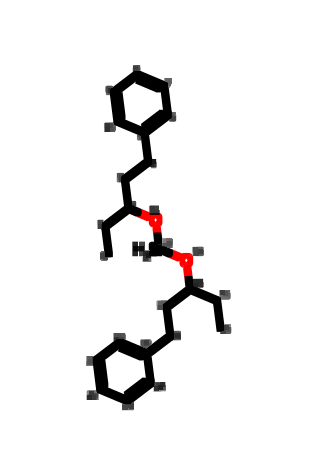 CCC(CCc1ccccc1)O[SiH2]OC(CC)CCc1ccccc1